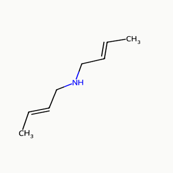 CC=CCNCC=CC